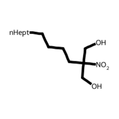 CCCCCCCCCCCC(CO)(CO)[N+](=O)[O-]